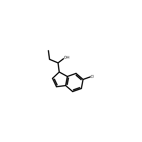 CCC(O)C1C=Cc2ccc(Cl)cc21